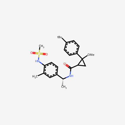 COC1(c2ccc(C(C)(C)C)cc2)CC1C(=O)N[C@H](C)c1ccc(NS(C)(=O)=O)c(C)c1